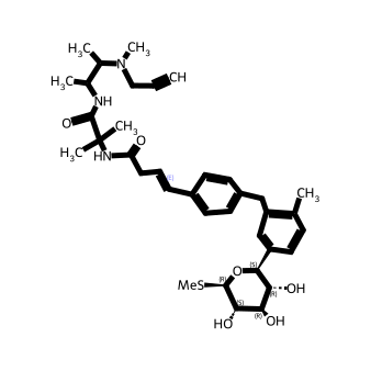 C#CCN(C)C(C)C(C)NC(=O)C(C)(C)NC(=O)C/C=C/c1ccc(Cc2cc([C@@H]3O[C@H](SC)[C@@H](O)[C@H](O)[C@H]3O)ccc2C)cc1